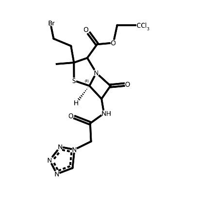 CC1(CCBr)S[C@@H]2C(NC(=O)Cn3cnnn3)C(=O)N2C1C(=O)OCC(Cl)(Cl)Cl